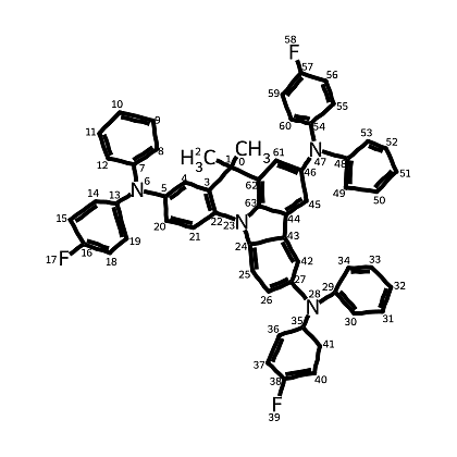 CC1(C)c2cc(N(c3ccccc3)c3ccc(F)cc3)ccc2-n2c3ccc(N(c4ccccc4)C4C=CC(F)=CC4)cc3c3cc(N(c4ccccc4)c4ccc(F)cc4)cc1c32